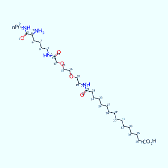 CCCNC(=O)[C@@H](N)CCCCNC(=O)COCCOCCNC(=O)CCCCCCCCCCCCCCC(=O)O